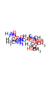 CC1=C2C(=CC(C)(CO)C2OC(=O)N(C)CCN(C)C(=O)OCc2ccc(NC(=O)C(CCCNC(N)=O)NC(=O)[C@@H](N)C(C)C)cc2)C(=O)[C@](C)(O)C12CC2